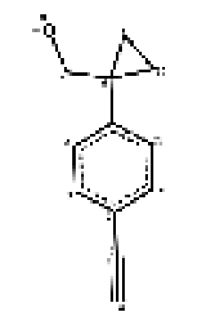 C#Cc1ccc(C2(CO)CC2)cc1